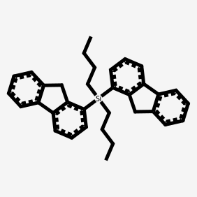 CCCC[Si](CCCC)(c1cccc2c1Cc1ccccc1-2)c1cccc2c1Cc1ccccc1-2